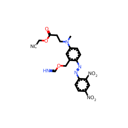 CN(CCC(=O)OCC#N)c1ccc(N=Nc2ccc([N+](=O)[O-])cc2[N+](=O)[O-])c(COC=N)c1